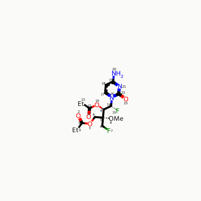 CCC(=O)OC[C@@](CF)(OC)[C@@H](OC(=O)CC)[C@@H](F)n1ccc(N)nc1=O